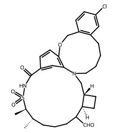 C[C@@H]1[C@@H](C)CCCC(C=O)[C@@H]2CC[C@H]2CN2CCCCc3cc(Cl)ccc3COc3ccc(cc32)C(=O)NS1(=O)=O